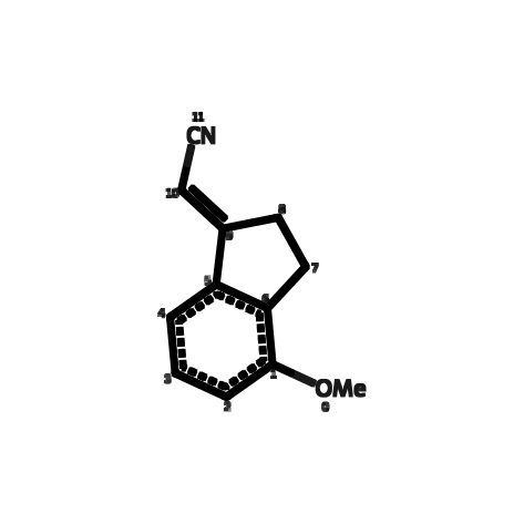 COc1cccc2c1CCC2=CC#N